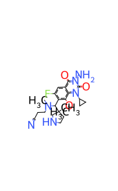 COc1c(C(N(C)CCC#N)C2(C)CCNC2)c(F)cc2c(=O)n(N)c(=O)n(C3CC3)c12